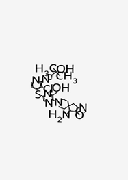 CC(C)(O)C1CN(c2nccc(Sc3cnc(N4CCC5(CC4)Cc4ncoc4[C@H]5N)c(CO)n3)c2Cl)C1